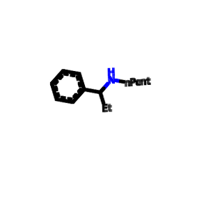 CCCCCNC(CC)c1ccccc1